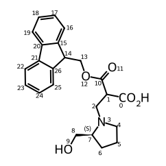 O=C(O)C(CN1CCC[C@H]1CO)C(=O)OCC1c2ccccc2-c2ccccc21